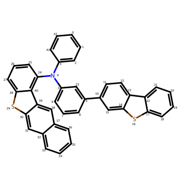 c1ccc(N(c2cccc(-c3ccc4c(c3)sc3ccccc34)c2)c2cccc3sc4cc5ccccc5cc4c23)cc1